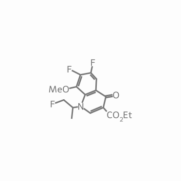 CCOC(=O)c1cn(C(C)CF)c2c(OC)c(F)c(F)cc2c1=O